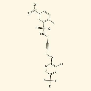 O=[N+]([O-])c1ccc(F)c(S(=O)(=O)NCC#CCOc2ncc(C(F)(F)F)cc2Cl)c1